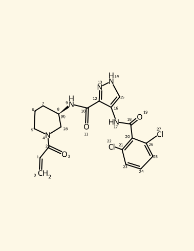 C=CC(=O)N1CCC[C@@H](NC(=O)c2n[nH]cc2NC(=O)c2c(Cl)cccc2Cl)C1